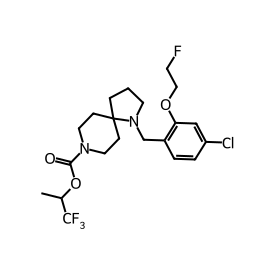 CC(OC(=O)N1CCC2(CCCN2Cc2ccc(Cl)cc2OCCF)CC1)C(F)(F)F